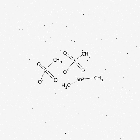 CS(=O)(=O)[O-].CS(=O)(=O)[O-].[CH3][Sn+2][CH3]